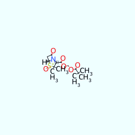 CC(C)(C)C(=O)OCOC(=O)[C@@H]1N2C(=O)C[C@H]2[S+]([O-])C1(C)C